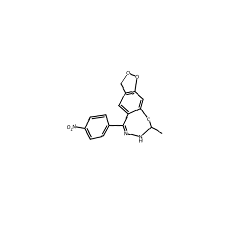 CC1Cc2cc3c(cc2C(c2ccc([N+](=O)[O-])cc2)=NN1)COO3